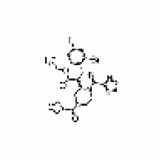 CCOC(=O)C1=C2CN(C(=O)C3COC3)CCN2C(c2nccs2)=N[C@H]1c1ccc(F)cc1Br